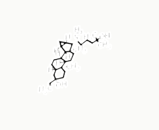 CC[C@]1(O)CC[C@@]2(C)[C@@H](CC[C@H]3[C@@H]4[C@@H]5C[C@@H]5[C@H]([C@H](C)CCCC(C)(C)O)[C@@]4(C)CC[C@@H]32)C1